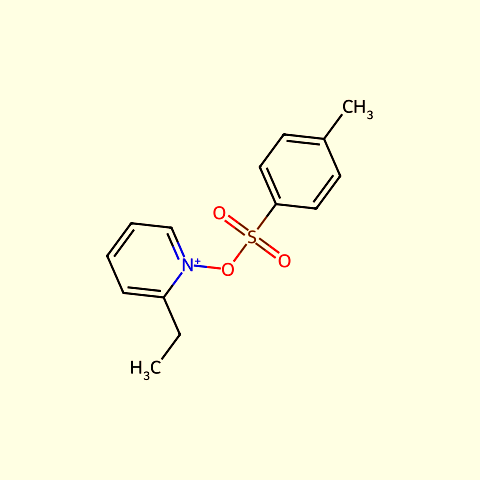 CCc1cccc[n+]1OS(=O)(=O)c1ccc(C)cc1